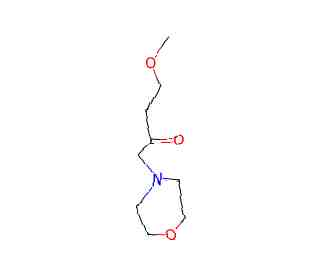 COCCC(=O)CN1CCOCC1